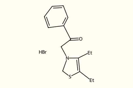 Br.CCC1=C(CC)N(CC(=O)c2ccccc2)CS1